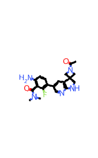 CC(=O)N1CC2(CNc3ncc(-c4ccc(N)c(C(=O)N(C)C)c4F)cc32)C1